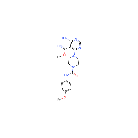 CCOC(=N)c1c(N)ncnc1N1CCN(C(=O)Nc2ccc(OC(C)C)cc2)CC1